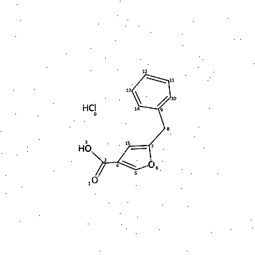 Cl.O=C(O)c1coc(Cc2ccccc2)c1